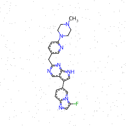 CN1CCN(c2ccc(Cc3ncc4c(-c5ccc6ncc(F)n6c5)c[nH]c4n3)cn2)CC1